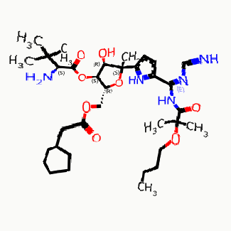 CCCCOC(C)(C)C(=O)N/C(=N/C=N)c1ccc([C@]2(C)O[C@H](COC(=O)CC3CCCCC3)[C@@H](OC(=O)[C@@H](N)C(C)(C)C)[C@H]2O)[nH]1